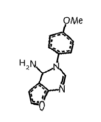 COc1ccc(N2C=Nc3occc3C2N)cc1